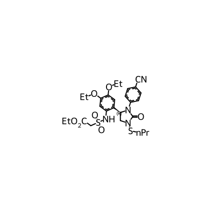 CCCSN1C[C@@H](c2cc(OCC)c(OCC)cc2NS(=O)(=O)CC(=O)OCC)N(c2ccc(C#N)cc2)C1=O